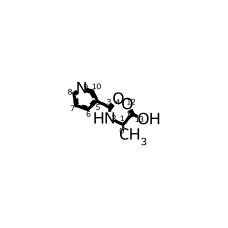 C[C@@H](NC(=O)c1cccnc1)C(=O)O